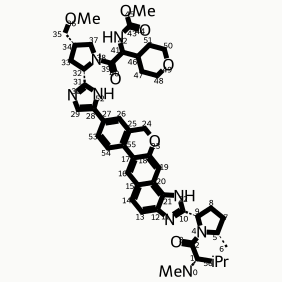 CN[C@H](C(=O)N1[C@@H](C)CC[C@H]1c1nc2ccc3cc4c(cc3c2[nH]1)OCc1cc(-c2cnc([C@@H]3C[C@H](COC)CN3C(=O)C(NC(=O)OC)C3CCOCC3)[nH]2)ccc1-4)C(C)C